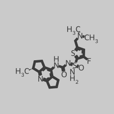 C[C@@H]1CCc2c1nc1c(c2NC(=O)N=S(N)(=O)c2sc(CN(C)C)cc2F)CCC1